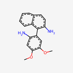 COc1cc(N)c(-c2c(N)ccc3ccccc23)cc1OC